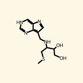 CSCC(NCc1cnc2c[nH]cnc1-2)C(O)CO